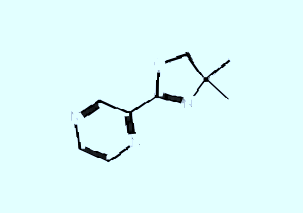 CC1(C)COC(c2cnccn2)=N1